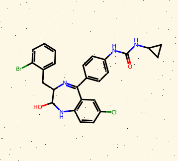 O=C(Nc1ccc(C2=NC(Cc3ccccc3Br)C(O)Nc3ccc(Cl)cc32)cc1)NC1CC1